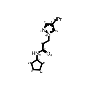 CC(C)c1cnn(CCC(=O)NC2CCCC2)c1